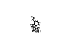 CC[N]c1cccc2c1nnn2S(=O)(=O)O